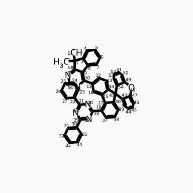 CC1(C)c2ccccc2-c2c(-c3ccc4c(c3)-c3c(-c5nc(-c6ccccc6)nc(-c6ccccc6)n5)cccc3C43c4ccccc4Oc4ccccc43)ncnc21